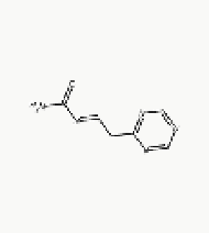 NC(=O)N=CCc1ncncn1